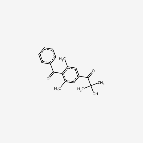 Cc1cc(C(=O)C(C)(C)O)cc(C)c1C(=O)c1ccccc1